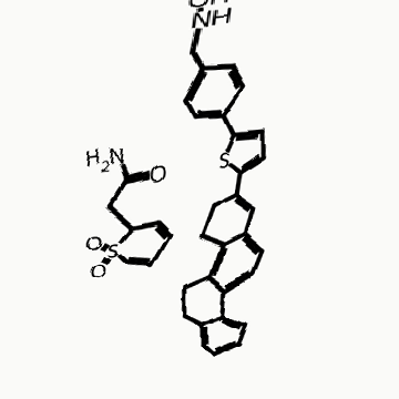 NC(=O)CC1C=CC=CS1(=O)=O.ONCc1ccc(-c2ccc(C3=Cc4ccc5c(c4CC3)CCc3ccccc3-5)s2)cc1